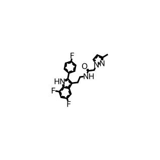 Cc1ccn(CC(=O)NCCc2c(-c3ccc(F)cc3)[nH]c3c(F)cc(F)cc23)n1